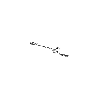 CCCCCCCCCCCCCCCCCC[n+]1ccn(CCCCCCCCCCCC)c1C(C)C